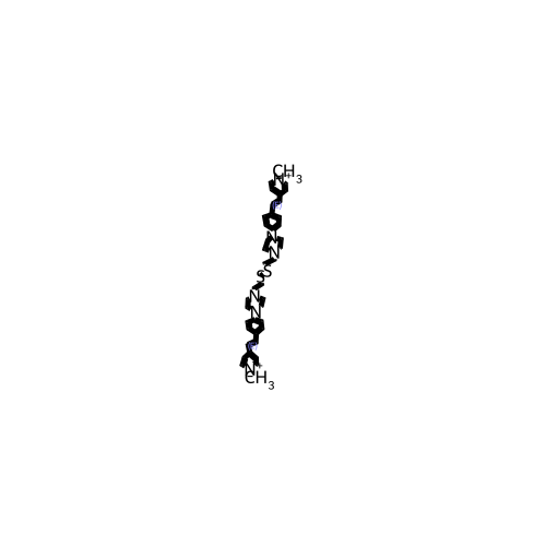 C[n+]1ccc(/C=C/c2ccc(N3CCN(CCSSCCN4CCN(c5ccc(/C=C/c6cc[n+](C)cc6)cc5)CC4)CC3)cc2)cc1